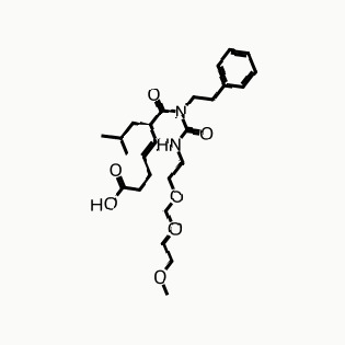 COCCOCOCCNC(=O)N(CCc1ccccc1)C(=O)[C@@H](C=CCCC(=O)O)CC(C)C